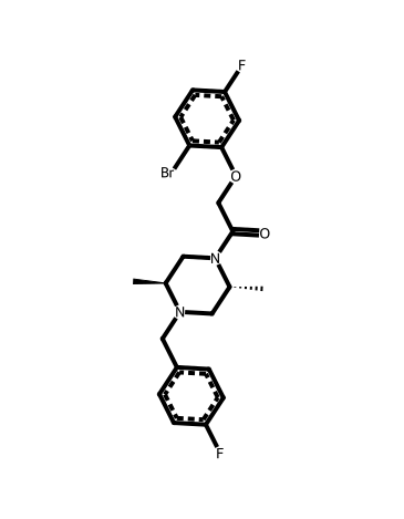 C[C@@H]1CN(Cc2ccc(F)cc2)[C@@H](C)CN1C(=O)COc1cc(F)ccc1Br